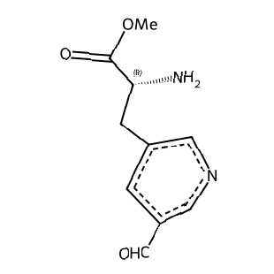 COC(=O)[C@H](N)Cc1cncc(C=O)c1